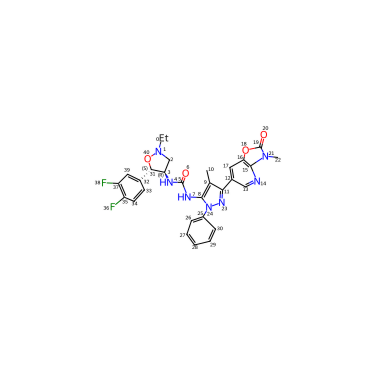 CCN1C[C@@H](NC(=O)Nc2c(C)c(-c3cnc4c(c3)oc(=O)n4C)nn2-c2ccccc2)[C@H](c2ccc(F)c(F)c2)O1